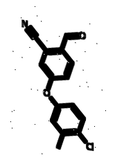 Cc1cc(Oc2ccc(C=O)c(C#N)c2)ccc1Cl